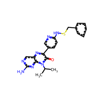 CC(C)n1c(=O)c(-c2ccc(NSCc3ccccc3)nc2)nc2cnc(N)nc21